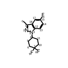 Cc1nn(C2CCC(F)(F)CC2)c2ccc(F)cc12